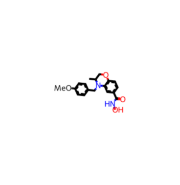 COc1ccc(CN2c3cc(C(=O)NO)ccc3OCC2C)cc1